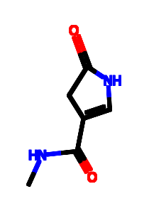 CNC(=O)C1=CNC(=O)C1